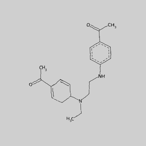 CCN(CCNc1ccc(C(C)=O)cc1)C1C=CC(C(C)=O)=CC1